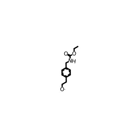 CCOC(=O)NCc1ccc(CC[O])cc1